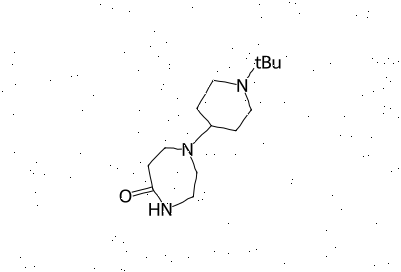 CC(C)(C)N1CCC(N2CCNC(=O)CC2)CC1